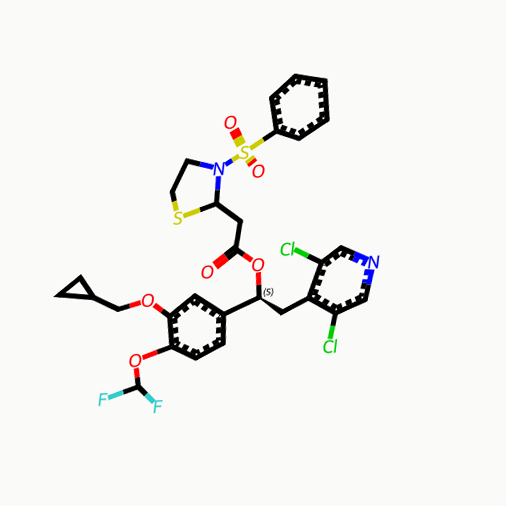 O=C(CC1SCCN1S(=O)(=O)c1ccccc1)O[C@@H](Cc1c(Cl)cncc1Cl)c1ccc(OC(F)F)c(OCC2CC2)c1